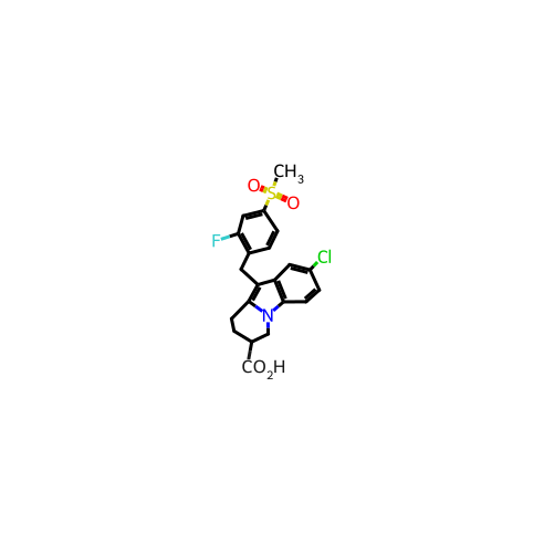 CS(=O)(=O)c1ccc(Cc2c3n(c4ccc(Cl)cc24)CC(C(=O)O)CC3)c(F)c1